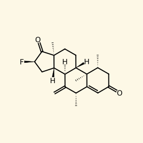 C=C1[C@@H](C)C2=CC(=O)C[C@@H](C)[C@]2(C)[C@H]2CC[C@]3(C)C(=O)[C@H](F)C[C@H]3[C@H]12